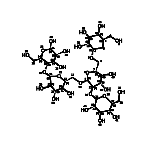 OC[C@H]1C[C@H](OC[C@H]2O[C@H](OC[C@H]3O[C@H](O[C@H]4[C@H](O)[C@@H](O)[C@@H](O)O[C@@H]4CO)[C@H](O)[C@@H](O)[C@@H]3O)[C@H](OC3O[C@@H](CO)[C@H](O)[C@@H](O)[C@@H]3O)[C@@H](O)[C@@H]2O)[C@H](O)[C@@H](O)[C@@H]1O